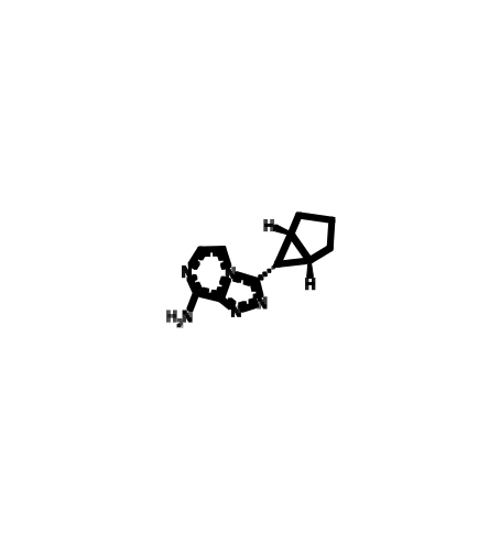 Nc1nccn2c([C@@H]3[C@@H]4CCC[C@@H]43)nnc12